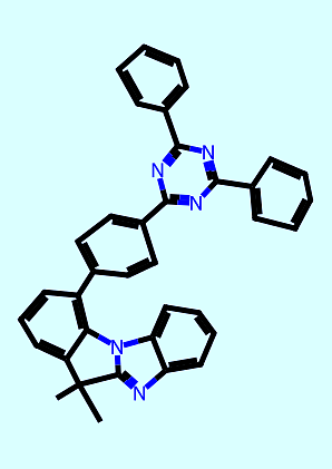 CC1(C)c2cccc(-c3ccc(-c4nc(-c5ccccc5)nc(-c5ccccc5)n4)cc3)c2-n2c1nc1ccccc12